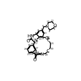 O=c1[nH]c2cc(CN3CCOCC3)cc3c2nc1-c1cccc2c(=O)n([nH]c12)CCCCCO3